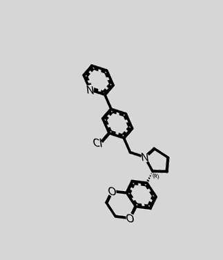 Clc1cc(-c2ccccn2)ccc1CN1CCC[C@@H]1c1ccc2c(c1)OCCO2